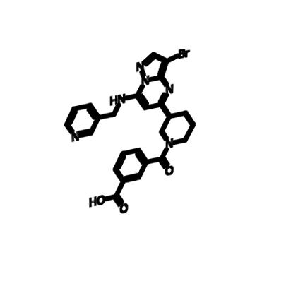 O=C(O)c1cccc(C(=O)N2CCCC(c3cc(NCc4cccnc4)n4ncc(Br)c4n3)C2)c1